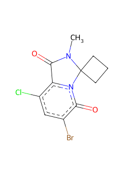 CN1C(=O)c2c(Cl)cc(Br)c(=O)n2C12CCC2